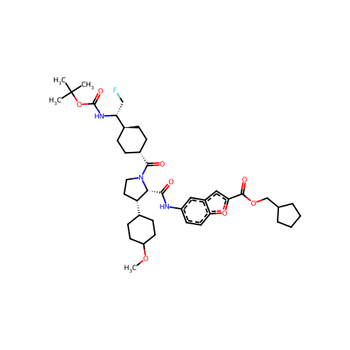 COC1CCC([C@@H]2CCN(C(=O)[C@H]3CC[C@H]([C@@H](CF)NC(=O)OC(C)(C)C)CC3)[C@@H]2C(=O)Nc2ccc3oc(C(=O)OCC4CCCC4)cc3c2)CC1